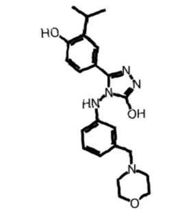 CC(C)c1cc(-c2nnc(O)n2Nc2cccc(CN3CCOCC3)c2)ccc1O